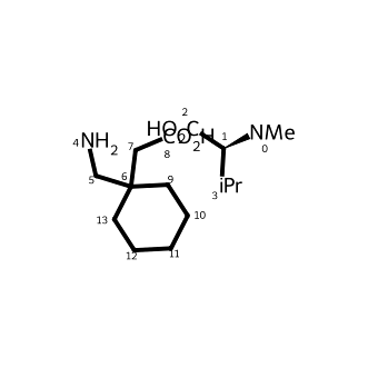 CN[C@H](C(=O)O)C(C)C.NCC1(CC(=O)O)CCCCC1